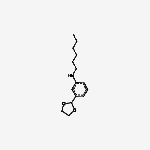 CCCCCCNc1cccc(C2OCCO2)c1